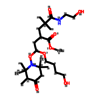 CCCCOC(=O)C(CC(OCCCCO)ON1C(C)(CC)CC(=O)C(C)C1(C)CC)CC(C)(C)C(=O)NCCO